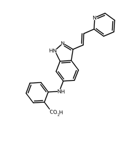 O=C(O)c1ccccc1Nc1ccc2c(/C=C/c3ccccn3)n[nH]c2c1